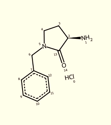 Cl.N[C@@H]1CCN(Cc2ccccc2)C1=O